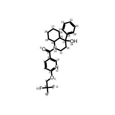 O=C(c1ccc(OCC(F)(F)F)nc1)N1CCC(O)(c2ccccc2)C2CCCCC21